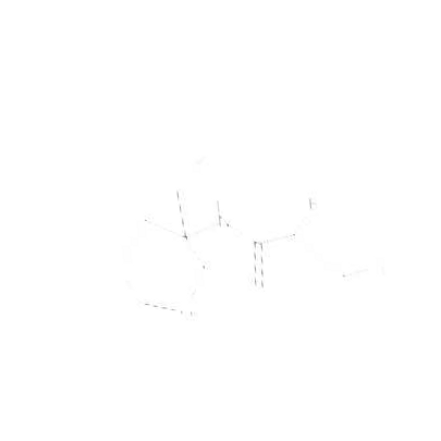 CCC1(NC(=O)C(Br)CCl)COCOC1